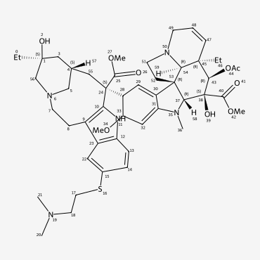 CC[C@]1(O)C[C@H]2CN(CCc3c([nH]c4ccc(SCCN(C)C)cc34)[C@@](C(=O)OC)(C3C=C4C(=CC3OC)N(C)[C@H]3[C@@](O)(C(=O)OC)[C@H](OC(C)=O)[C@]5(CC)C=CCN6CC[C@]43[C@@H]65)C2)C1